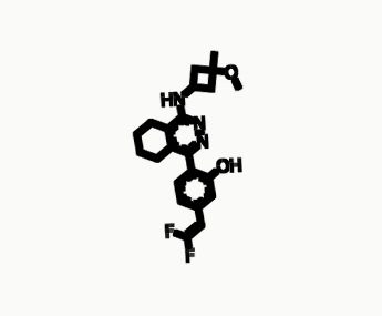 COC1(C)CC(Nc2nnc(-c3ccc(C=C(F)F)cc3O)c3c2CCCC3)C1